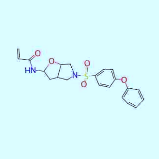 C=CC(=O)NC1CC2CN(S(=O)(=O)c3ccc(Oc4ccccc4)cc3)CC2O1